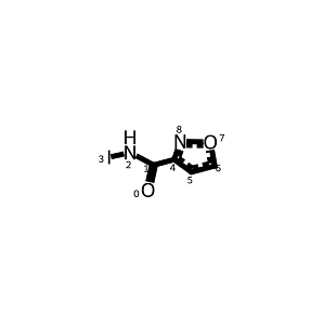 O=C(NI)c1ccon1